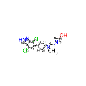 CN(CCN1CC(O)C1)c1ccc(-c2cc(Cl)c3c[nH]nc3c2Cl)cc1